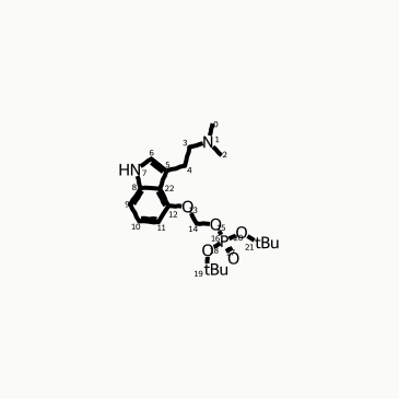 CN(C)CCc1c[nH]c2cccc(OCOP(=O)(OC(C)(C)C)OC(C)(C)C)c12